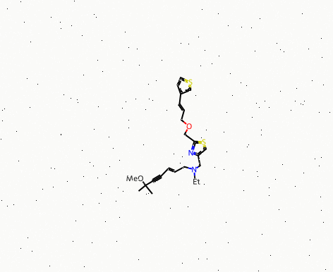 CCN(C/C=C/C#CC(C)(C)OC)Cc1csc(COC/C=C/c2ccsc2)n1